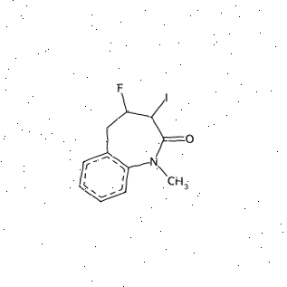 CN1C(=O)C(I)C(F)Cc2ccccc21